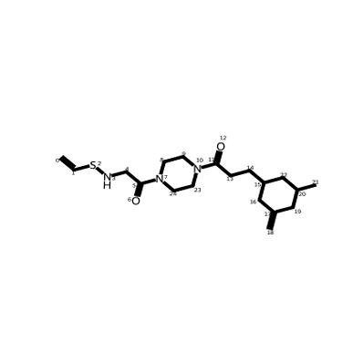 C=CSNCC(=O)N1CCN(C(=O)CCC2CC(=C)CC(C)C2)CC1